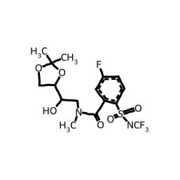 CN(CC(O)C1COC(C)(C)O1)C(=O)c1cc(F)ccc1S(=O)(=O)NC(F)(F)F